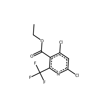 CCOC(=O)c1c(Cl)cc(Cl)nc1C(F)(F)F